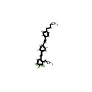 CCCCc1ccc(C#Cc2ccc(C#Cc3cc(F)c(F)c(F)c3CC)cc2)cc1